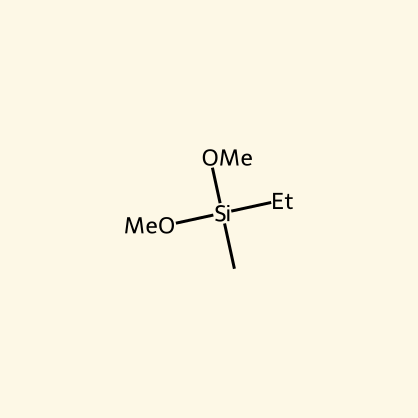 [CH2]C[Si](C)(OC)OC